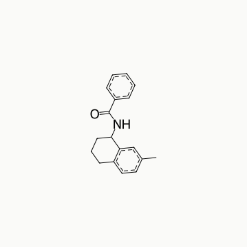 Cc1ccc2c(c1)C(NC(=O)c1ccccc1)CCC2